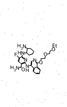 CCOCCOCCOc1ncc(Nc2nc(NC3CCCCC3N)c(F)cc2C(N)=O)c2ccccc12